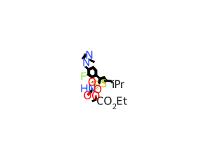 CCOC(=O)C(C)OC(=O)NS(=O)(=O)c1sc(CC(C)C)cc1-c1ccc(Cn2ccnc2C)c(F)c1